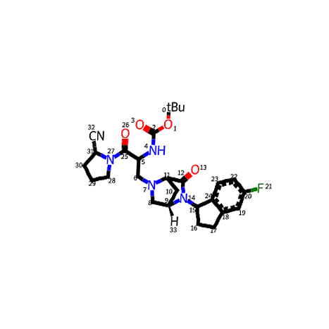 CC(C)(C)OC(=O)NC(CN1C[C@@H]2CC1C(=O)N2C1CCc2cc(F)ccc21)C(=O)N1CCCC1C#N